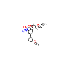 Cc1cc(C2(O)C(=O)Nc3cc(-c4cccc(OC(F)(F)F)c4)ccc32)cc(C)c1O[Si](C)(C)C(C)(C)C